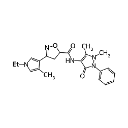 CCn1cc(C)c(C2=NOC(C(=O)Nc3c(C)n(C)n(-c4ccccc4)c3=O)C2)c1